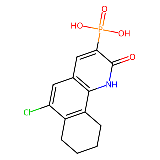 O=c1[nH]c2c3c(c(Cl)cc2cc1P(=O)(O)O)CCCC3